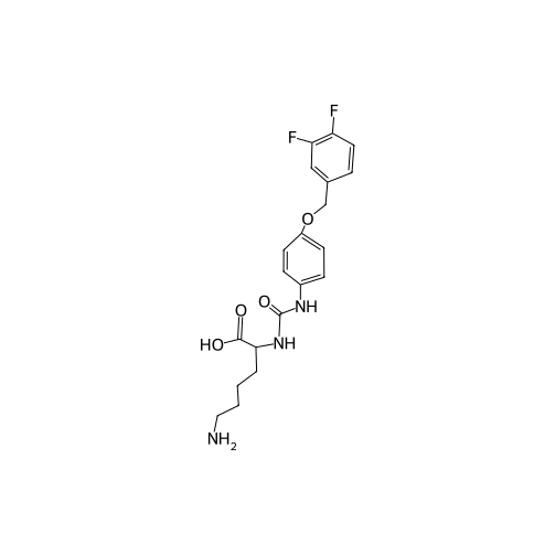 NCCCCC(NC(=O)Nc1ccc(OCc2ccc(F)c(F)c2)cc1)C(=O)O